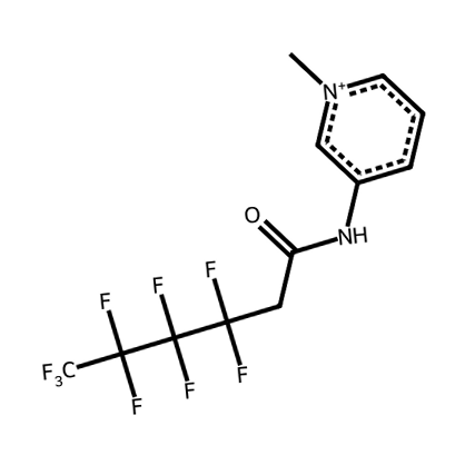 C[n+]1cccc(NC(=O)CC(F)(F)C(F)(F)C(F)(F)C(F)(F)F)c1